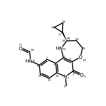 Cn1c(=O)c2c(c3cc(NC=O)ccc31)N[C@@H](C1CC1)CCO2